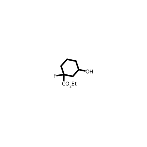 CCOC(=O)C1(F)CCCC(O)C1